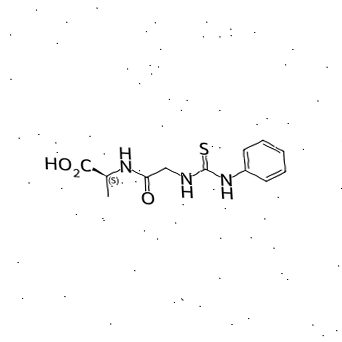 C[C@H](NC(=O)CNC(=S)Nc1ccccc1)C(=O)O